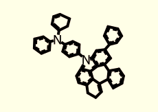 C1=CCCC(N(c2ccccc2)c2ccc(-n3c4cc(-c5ccccc5)cc5c4c4c6c(ccc43)CCC=C6c3ccccc3-5)cc2)=C1